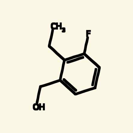 CCc1c(F)cccc1CO